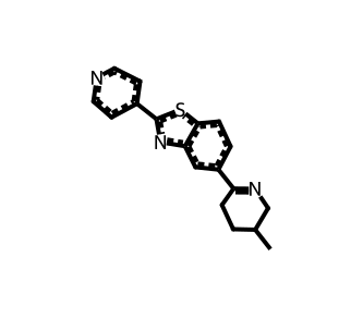 CC1CCC(c2ccc3sc(-c4ccncc4)nc3c2)=NC1